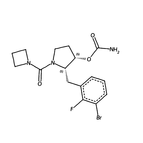 NC(=O)O[C@H]1CCN(C(=O)N2CCC2)[C@H]1Cc1cccc(Br)c1F